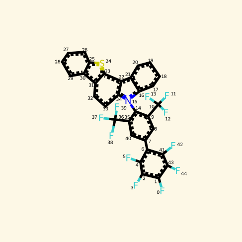 Fc1c(F)c(F)c(-c2cc(C(F)(F)F)c(-n3c4ccccc4c4c5sc6ccccc6c5ccc43)c(C(F)(F)F)c2)c(F)c1F